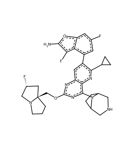 Nc1oc2cc(F)cc(-c3cc4nc(OC[C@@]56CCCN5C[C@H](F)C6)nc(N5C6CCC5CNC6)c4nc3C3CC3)c2c1F